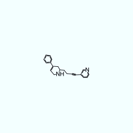 C(#Cc1cccnc1)CCC1CC(c2ccccc2)=CCN1